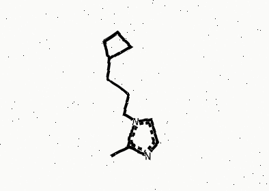 Cc1n[c]cn1CCCC1CCC1